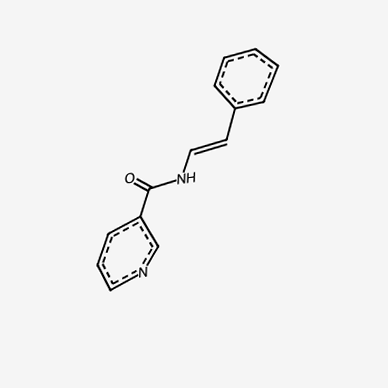 O=C(NC=Cc1ccccc1)c1cccnc1